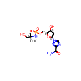 C[C@@](C=O)(CO)NP(=O)(O)OC[C@H]1O[C@@H](n2cnc(C(N)=O)n2)C[C@@H]1O